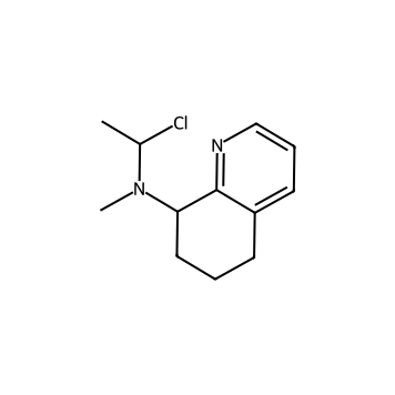 CC(Cl)N(C)C1CCCc2cccnc21